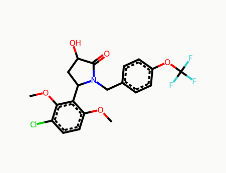 COc1ccc(Cl)c(OC)c1C1CC(O)C(=O)N1Cc1ccc(OC(F)(F)F)cc1